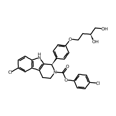 O=C(Oc1ccc(Cl)cc1)N1CCc2c([nH]c3ccc(Cl)cc23)[C@H]1c1ccc(OCC[C@H](O)CO)cc1